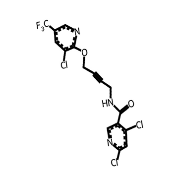 O=C(NCC#CCOc1ncc(C(F)(F)F)cc1Cl)c1cnc(Cl)cc1Cl